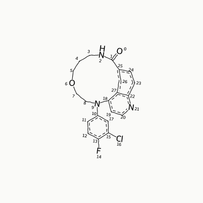 O=C1NCCCOCCN(c2ccc(F)c(Cl)c2)c2ccnc3ccc1cc23